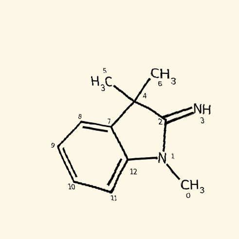 CN1C(=N)C(C)(C)c2ccccc21